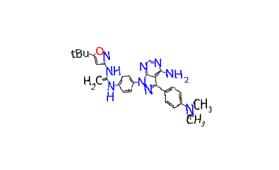 C=C(Nc1ccc(-n2nc(-c3ccc(N(C)C)cc3)c3c(N)ncnc32)cc1)Nc1cc(C(C)(C)C)on1